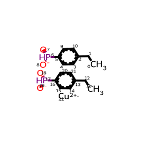 CCc1ccc([PH](=O)[O-])cc1.CCc1ccc([PH](=O)[O-])cc1.[Cu+2]